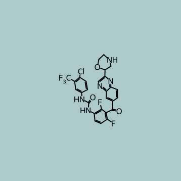 O=C(Nc1ccc(Cl)c(C(F)(F)F)c1)Nc1ccc(F)c(C(=O)c2ccc3nc(C4CNCCO4)cnc3c2)c1F